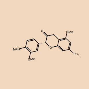 COc1ccc([C@H]2Oc3cc(C)cc(OC)c3CC2=O)cc1OC